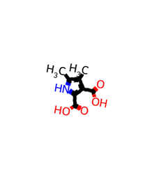 Cc1[nH]c(C(=O)O)c(C(=O)O)c1C